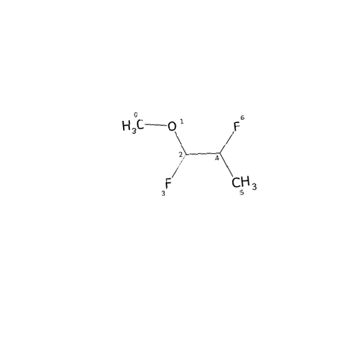 COC(F)C(C)F